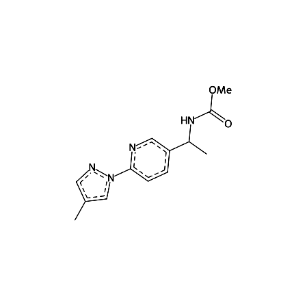 COC(=O)NC(C)c1ccc(-n2cc(C)cn2)nc1